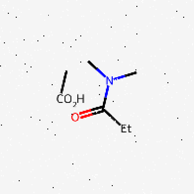 CC(=O)O.CCC(=O)N(C)C